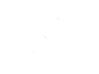 CCOC(=O)N1CCC(N2CCC3(CC2)CN(C(C)=O)c2ccc(-c4cccc(C)c4)cc23)CC1